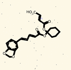 O=C(O)/C=C/C(=O)OC1(OC(=O)C=CC=Cc2ccc3c(c2)OCO3)CCCCC1